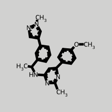 COc1ccc(-c2cc(NC(C)c3cccc(-c4cnn(C)c4)c3)nc(C)n2)cc1